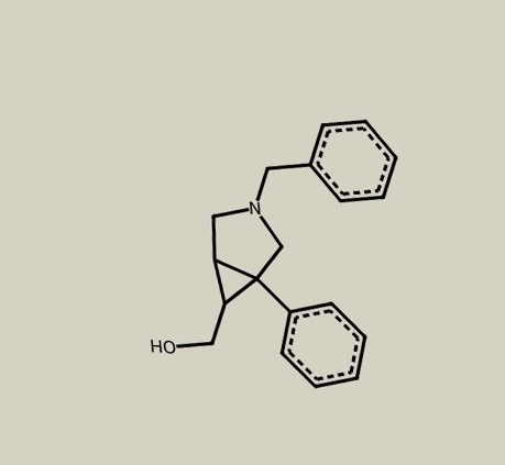 OCC1C2CN(Cc3ccccc3)CC12c1ccccc1